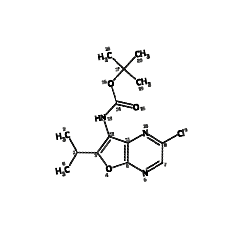 CC(C)c1oc2ncc(Cl)nc2c1NC(=O)OC(C)(C)C